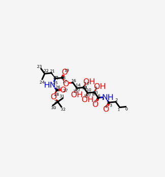 CCCC(=O)NC(=O)[C@H](O)[C@@H](O)[C@H](O)[C@H](O)COC(=O)[C@H](CC(C)C)NC(=O)OC(C)(C)C